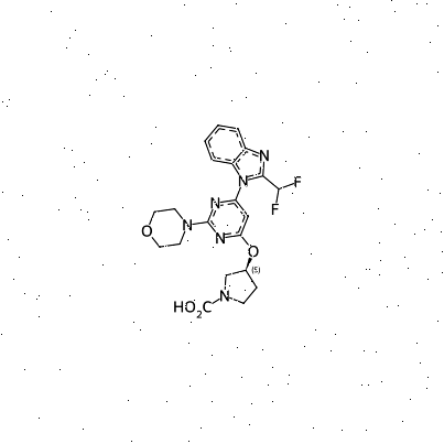 O=C(O)N1CC[C@H](Oc2cc(-n3c(C(F)F)nc4ccccc43)nc(N3CCOCC3)n2)C1